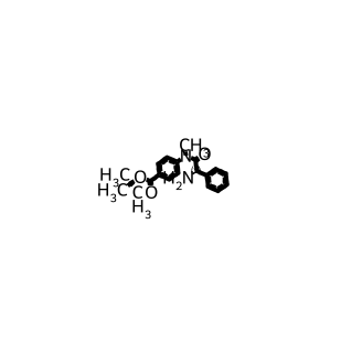 CN(C(=O)[C@@H](N)c1ccccc1)c1ccc(C(=O)OC(C)(C)C)cc1